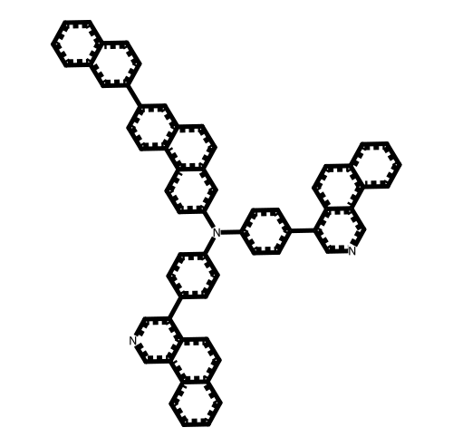 c1ccc2cc(-c3ccc4c(ccc5cc(N(c6ccc(-c7cncc8c7ccc7ccccc78)cc6)c6ccc(-c7cncc8c7ccc7ccccc78)cc6)ccc54)c3)ccc2c1